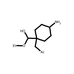 CCOC(O)C1(CC(C)=O)CCC(N)CC1